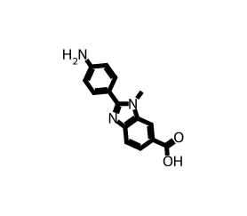 Cn1c(-c2ccc(N)cc2)nc2ccc(C(=O)O)cc21